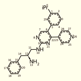 CC(C)c1cccc(-c2cnc(NC[C@@H](N)Cc3ccccc3)nc2-c2ccncc2)c1